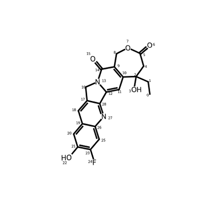 CCC1(O)CC(=O)OCc2c1cc1n(c2=O)Cc2cc3cc(O)c(F)cc3nc2-1